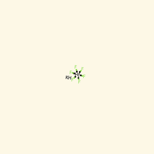 [F][Hf]([F])([F])([F])([F])[F].[KH]